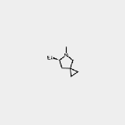 CC[C@@H]1CC2(CC2)CN1C